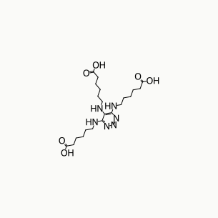 O=C(O)CCCCCNc1nnnc(NCCCCCC(=O)O)c1NCCCCCC(=O)O